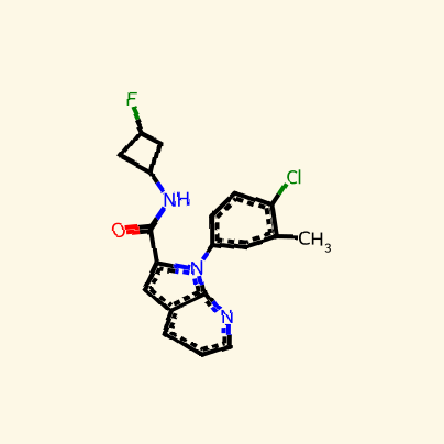 Cc1cc(-n2c(C(=O)NC3CC(F)C3)cc3cccnc32)ccc1Cl